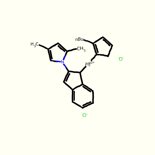 CCCCC1=[C]([Hf+2][CH]2C(n3cc(C)cc3C)=Cc3ccccc32)CC=C1.[Cl-].[Cl-]